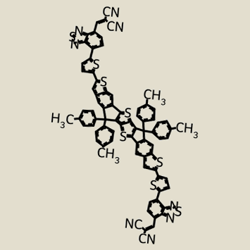 Cc1ccc(C2(c3ccc(C)cc3)c3cc4cc(-c5ccc(-c6ccc(C=C(C#N)C#N)c7nsnc67)s5)sc4cc3-c3sc4c5c(sc4c32)-c2cc3cc(-c4ccc(-c6ccc(C=C(C#N)C#N)c7nsnc67)s4)sc3cc2C5(c2ccc(C)cc2)c2ccc(C)cc2)cc1